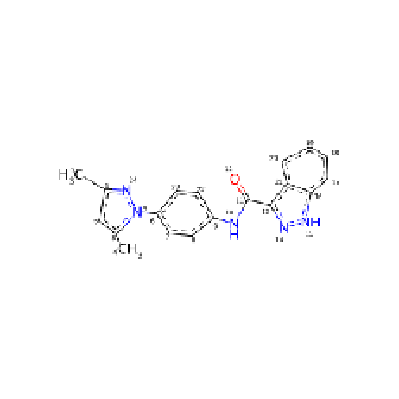 Cc1cc(C)n(-c2ccc(NC(=O)c3n[nH]c4ccccc34)cc2)n1